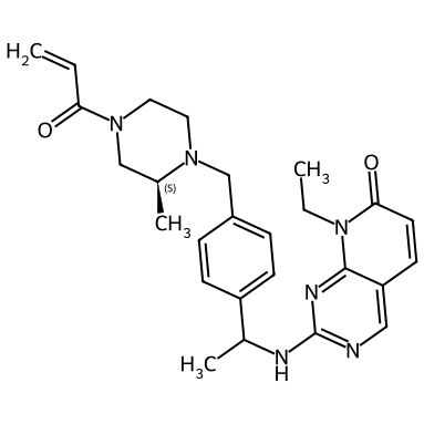 C=CC(=O)N1CCN(Cc2ccc(C(C)Nc3ncc4ccc(=O)n(CC)c4n3)cc2)[C@@H](C)C1